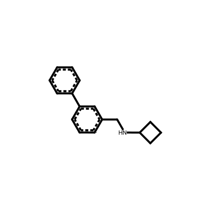 [c]1ccc(-c2ccccc2)cc1CNC1CCC1